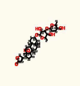 CC1OC(O[C@H]2CCC3(C)C4CCC5(C)[C@@H](C6=CC(=O)OC6)CC[C@]5(O)[C@@H]4CC[C@H]3C2)[C@@H](O)[C@@H](O[C@@H]2C=C[C@H](O)[C@H](C)O2)C1O